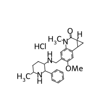 COc1cc2c(cc1CNC1CCC(C)NC1c1ccccc1)N(C)C(=O)[C@@H]1CC21.Cl